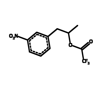 CC(Cc1cccc([N+](=O)[O-])c1)OC(=O)C(F)(F)F